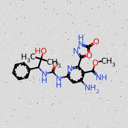 COC(=N)c1c(N)cc(NC(=O)N[C@@H](c2ccccc2)C(C)(C)O)nc1-c1n[nH]c(=O)o1